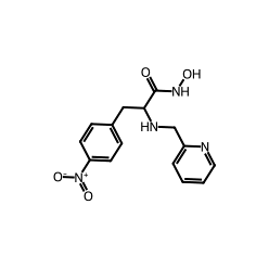 O=C(NO)C(Cc1ccc([N+](=O)[O-])cc1)NCc1ccccn1